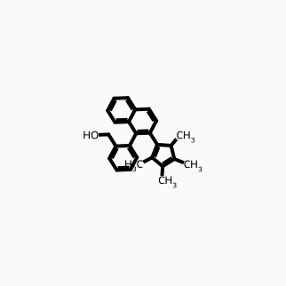 CC1=C(C)C(C)C(c2ccc3ccccc3c2-c2ccccc2CO)=C1C